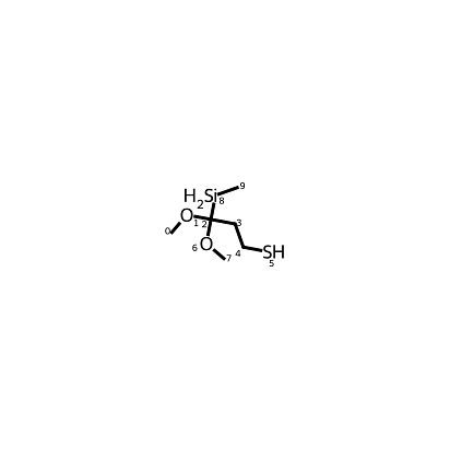 COC(CCS)(OC)[SiH2]C